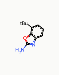 CC(C)(C)c1cccc2nc(N)oc12